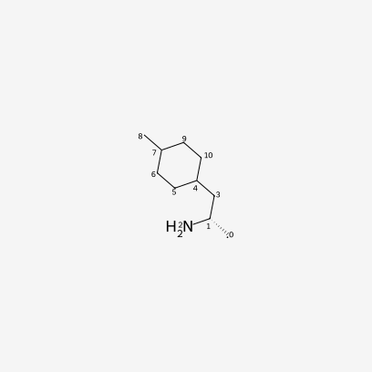 [CH2][C@H](N)CC1CCC(C)CC1